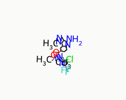 CCC(=O)N(C)N(Cc1ncc(C(F)(F)F)cc1Cl)C(=O)c1ccc2nc(N)c3cnn(C)c3c2c1